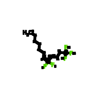 CCCCCCCC(F)(F)[SiH2]CC[Si](F)(F)F